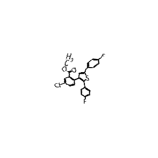 COC(=O)c1cc(Cl)ccc1-c1cc(-c2ccc(F)cc2)sc1-c1ccc(F)cc1